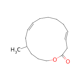 CC1C/C=C\CCCC/C=C/CC(=O)OCCC1